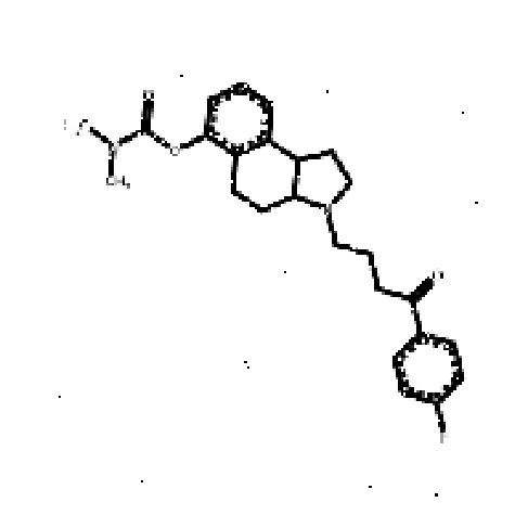 CN(C)C(=O)Oc1cccc2c1CCC1C2CCN1CCCC(=O)c1ccc(F)cc1